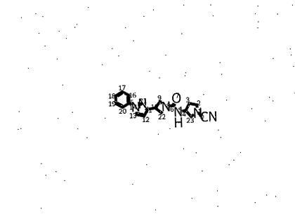 N#CN1CCC(NC(=O)N2CC(c3ccn(-c4ccccc4)n3)C2)C1